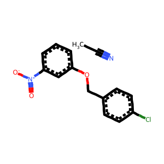 CC#N.O=[N+]([O-])c1cccc(OCc2ccc(Cl)cc2)c1